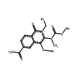 CCCCOc1c(N(C)C(=O)OC(C)(C)C)n(CC(C)C)c(=O)c2ccc(C(N)=S)cc12